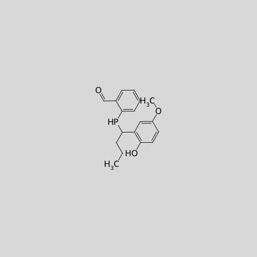 CCCC(Pc1ccccc1C=O)c1cc(OC)ccc1O